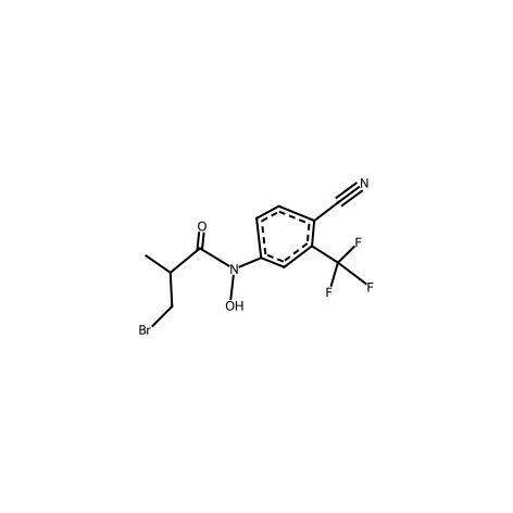 CC(CBr)C(=O)N(O)c1ccc(C#N)c(C(F)(F)F)c1